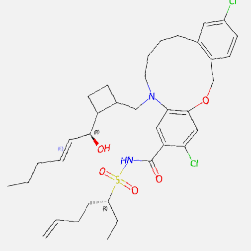 C=CCC[C@@H](CC)S(=O)(=O)NC(=O)c1cc2c(cc1Cl)OCc1ccc(Cl)cc1CCCCN2CC1CCC1[C@@H](O)/C=C/CCC